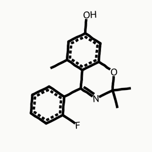 Cc1cc(O)cc2c1C(c1ccccc1F)=NC(C)(C)O2